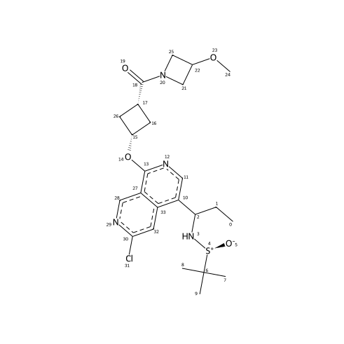 CCC(N[S@@+]([O-])C(C)(C)C)c1cnc(O[C@H]2C[C@@H](C(=O)N3CC(OC)C3)C2)c2cnc(Cl)cc12